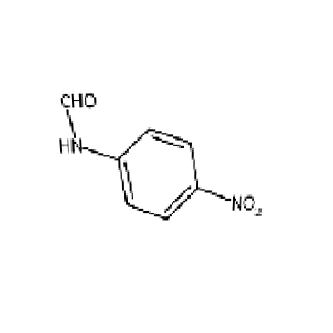 O=CNc1ccc([N+](=O)[O-])cc1